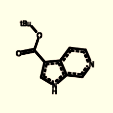 CC(C)(C)OC(=O)c1c[nH]c2cnccc12